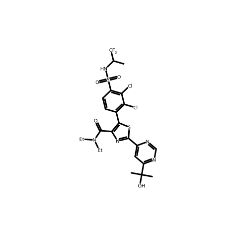 CCN(CC)C(=O)c1nc(-c2cc(C(C)(C)O)ncn2)sc1-c1ccc(S(=O)(=O)NC(C)C(F)(F)F)c(Cl)c1Cl